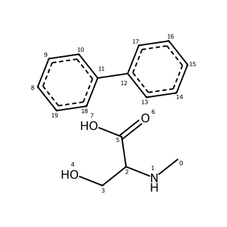 CNC(CO)C(=O)O.c1ccc(-c2ccccc2)cc1